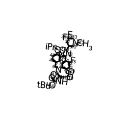 CC(C)Oc1ccc(CN2C(=O)[C@@H](NC(=O)OC(C)(C)C)CS(=O)(=O)c3cc(F)c(-c4noc(C5CN(C)CC(F)(F)C5)n4)cc32)cc1